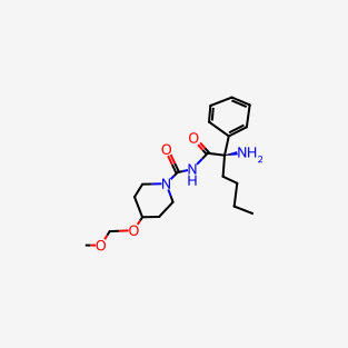 CCCC[C@](N)(C(=O)NC(=O)N1CCC(OCOC)CC1)c1ccccc1